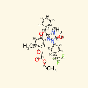 CCOC(=O)COc1ccc(OC(c2ccccc2)c2nn(-c3ccc(C(F)(F)F)cc3)c(=O)n2C)cc1C